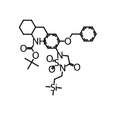 CC(C)(C)OC(=O)NC1CCCCC1Cc1ccc(N2CC(=O)N(CC[Si](C)(C)C)S2(=O)=O)c(OCc2ccccc2)c1